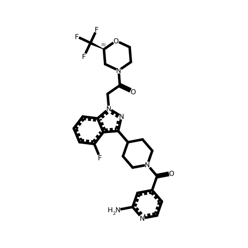 Nc1cc(C(=O)N2CCC(c3nn(CC(=O)N4CCO[C@H](C(F)(F)F)C4)c4cccc(F)c34)CC2)ccn1